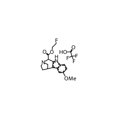 COc1ccc2[nH]c3c(c2c1)C1CCN(C1)C3C(=O)OCCF.O=C(O)C(F)(F)F